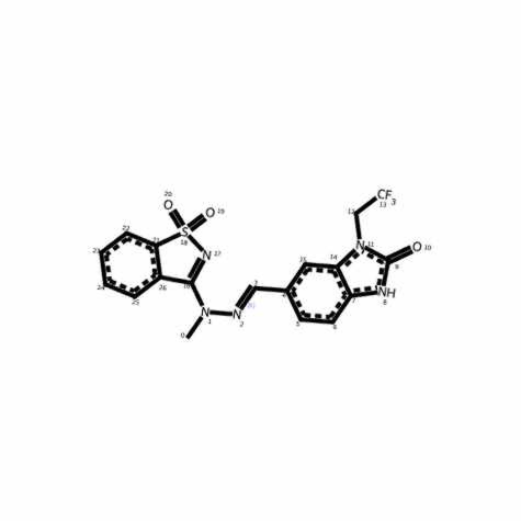 CN(/N=C/c1ccc2[nH]c(=O)n(CC(F)(F)F)c2c1)C1=NS(=O)(=O)c2ccccc21